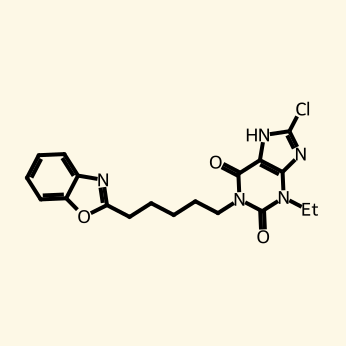 CCn1c(=O)n(CCCCCc2nc3ccccc3o2)c(=O)c2[nH]c(Cl)nc21